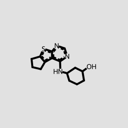 OC1CCCC(Nc2ncnc3sc4c(c23)CCC4)C1